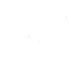 CCc1c(N2CSC(C3(C)CCCCC3)=N2)nn(-c2ccc(Cl)cc2Cl)c1-c1ccc(Br)cc1